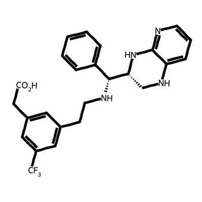 O=C(O)Cc1cc(CCN[C@H](c2ccccc2)[C@H]2CNc3cccnc3N2)cc(C(F)(F)F)c1